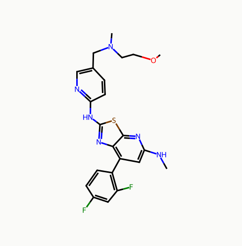 CNc1cc(-c2ccc(F)cc2F)c2nc(Nc3ccc(CN(C)CCOC)cn3)sc2n1